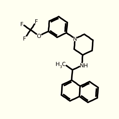 CC(NC1CCCN(c2cccc(OC(F)(F)F)c2)C1)c1cccc2ccccc12